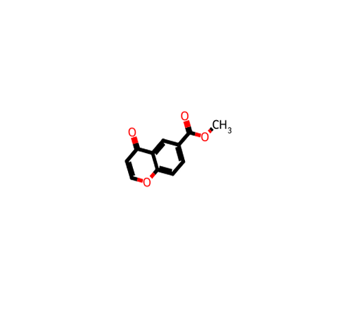 COC(=O)c1ccc2occc(=O)c2c1